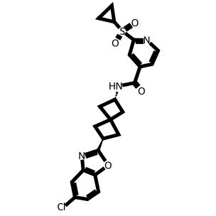 O=C(N[C@H]1CC2(C1)C[C@H](c1nc3cc(Cl)ccc3o1)C2)c1ccnc(S(=O)(=O)C2CC2)c1